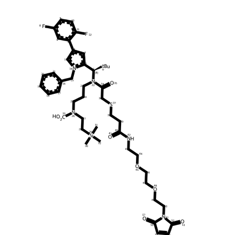 CC(C)(C)[C@H](c1cc(-c2cc(F)ccc2F)cn1Cc1ccccc1)N(CCCN(CC[Si](C)(C)C)C(=O)O)C(=O)CSCCC(=O)NCCOCCOCCN1C(=O)C=CC1=O